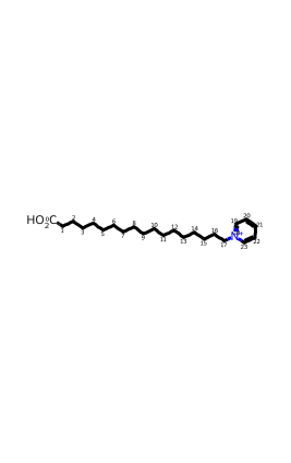 O=C(O)CCCCCCCCCCCCCCCCC[n+]1ccccc1